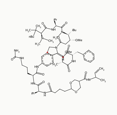 C=CC(C)NC(=O)C1COC(CCCC(=O)N[C@H](C(=O)N[C@@H](CCCNC(N)=O)C(=O)Nc2ccc(CNC(=O)[C@H](Cc3ccccc3)NC(=O)[C@H](C)[C@@H](OC)[C@@H]3CCCN3C(=O)C[C@@H](OC)[C@H]([C@@H](C)CC)N(C)C(=O)[C@@H](NC(=O)[C@@H](N(C)C)C(C)(C)CCCC)C(C)C)cc2)C(C)C)OC1